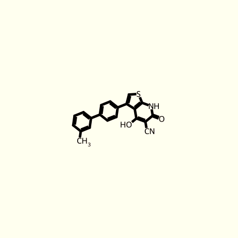 Cc1cccc(-c2ccc(-c3csc4[nH]c(=O)c(C#N)c(O)c34)cc2)c1